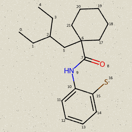 CCC(CC)CC1(C(=O)Nc2ccccc2[S])CCCCC1